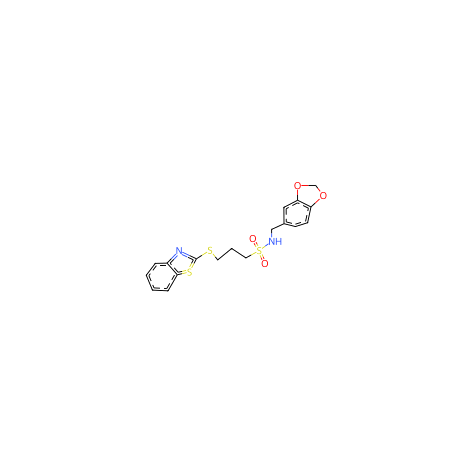 O=S(=O)(CCCSc1nc2ccccc2s1)NCc1ccc2c(c1)OCO2